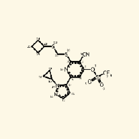 N#Cc1c(OS(=O)(=O)C(F)(F)F)cc(-c2ccnn2C2CC2)nc1SCSC1CCC1